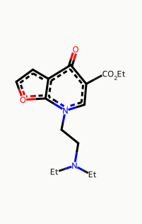 CCOC(=O)c1cn(CCN(CC)CC)c2occc2c1=O